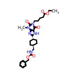 CCOC(=O)CCCCn1c(=O)c2[nH]c([C@H]3CC[C@H](CNC(=O)OCc4ccccc4)CC3)nc2n(C)c1=O